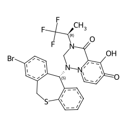 C[C@@H](N1CN([C@H]2c3ccc(Br)cc3CSc3ccccc32)n2ccc(=O)c(O)c2C1=O)C(F)(F)F